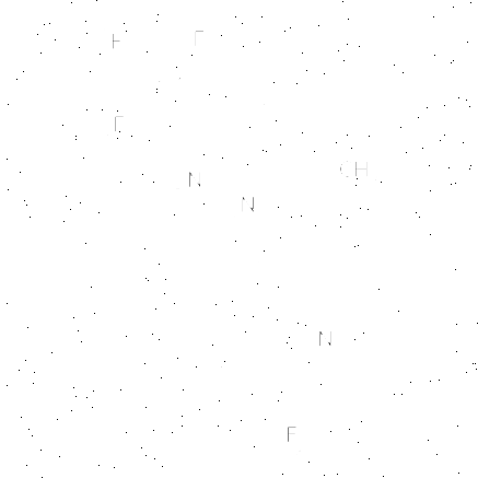 Cc1cc(C(F)(F)F)nn1-c1ccc(F)nc1